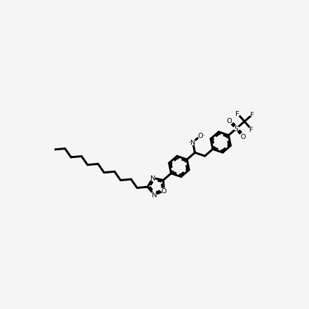 CCCCCCCCCCCc1noc(-c2ccc(C(Cc3ccc(S(=O)(=O)C(F)(F)F)cc3)[N][O])cc2)n1